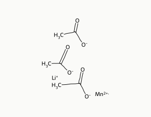 CC(=O)[O-].CC(=O)[O-].CC(=O)[O-].[Li+].[Mn+2]